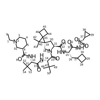 CCN1CCC[C@@H](C(=O)N[C@H](C(=O)N[C@H](C(=O)N2C[C@]3(C[C@H]2C(=O)N[C@@H](CC2CCC2)C(=O)NS(=O)(=O)C2CC2)C(C)(C)C32CCC2)C(C)(C)C)C(C)(C)C)C1